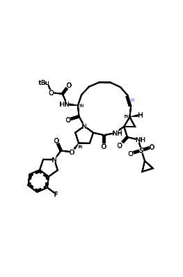 CC(C)(C)OC(=O)N[C@H]1CCCCC/C=C\[C@@H]2CC2(C(=O)NS(=O)(=O)C2CC2)NC(=O)C2C[C@@H](OC(=O)N3Cc4cccc(F)c4C3)CN2C1=O